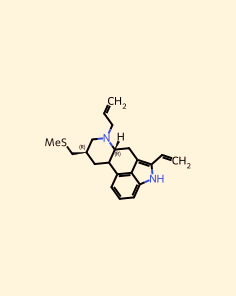 C=CCN1C[C@H](CSC)CC2c3cccc4[nH]c(C=C)c(c34)C[C@H]21